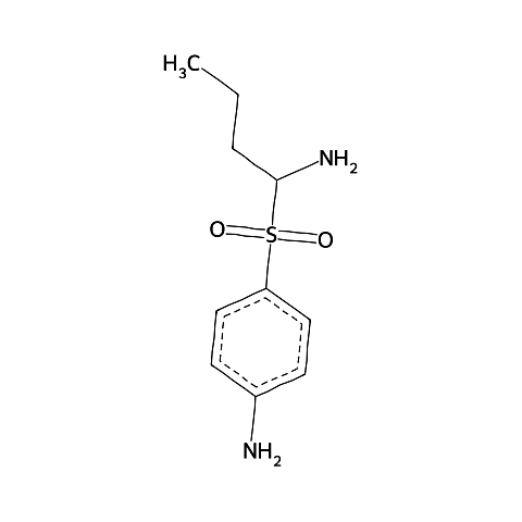 CCCC(N)S(=O)(=O)c1ccc(N)cc1